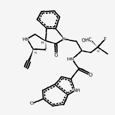 C#C[C@@H]1C[C@@]2(CN1)C(=O)N(CC(C[C@](C)(F)C=O)NC(=O)c1cc3cc(Cl)ccc3[nH]1)c1ccccc12